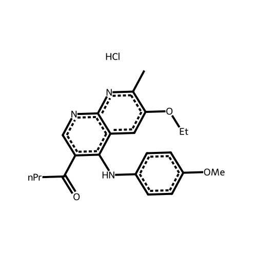 CCCC(=O)c1cnc2nc(C)c(OCC)cc2c1Nc1ccc(OC)cc1.Cl